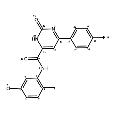 Cc1ccc(Cl)cc1NC(=O)c1cc(-c2ccc(F)cc2)nc(=O)[nH]1